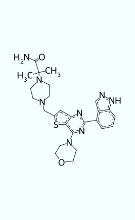 CC(C)(C(N)=O)N1CCN(Cc2cc3nc(-c4cccc5[nH]ncc45)nc(N4CCOCC4)c3s2)CC1